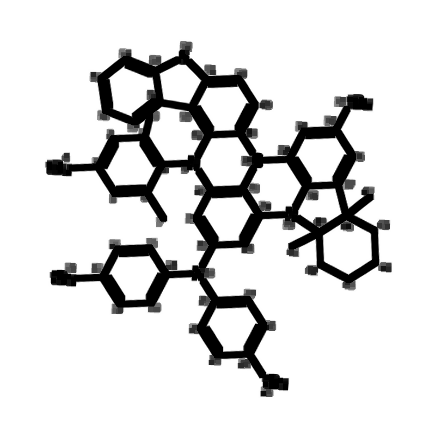 Cc1cc(C(C)(C)C)cc(C)c1N1c2cc(N(c3ccc(C(C)(C)C)cc3)c3ccc(C(C)(C)C)cc3)cc3c2B(c2cc(C(C)(C)C)cc4c2N3C2(C)CCCCC42C)c2ccc3sc4ccccc4c3c21